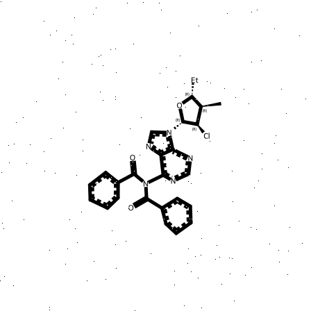 CC[C@H]1O[C@@H](n2cnc3c(N(C(=O)c4ccccc4)C(=O)c4ccccc4)ncnc32)[C@H](Cl)[C@@H]1C